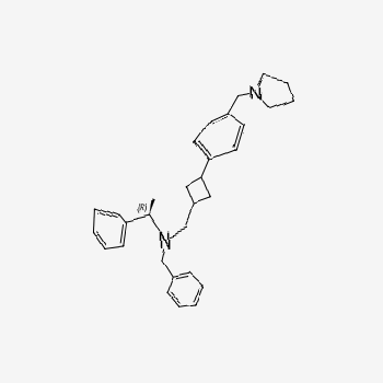 C[C@H](c1ccccc1)N(Cc1ccccc1)CC1CC(c2ccc(CN3CCCC3)cc2)C1